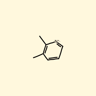 CC1=C(C)[N+]=CC=C1